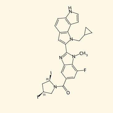 Cn1c(-c2cc3ccc4[nH]ccc4c3n2CC2CC2)nc2cc(C(=O)N3C[C@@H](I)C[C@H]3I)cc(F)c21